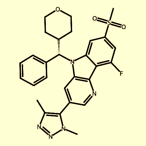 Cc1nnn(C)c1-c1cnc2c3c(F)cc(S(C)(=O)=O)cc3n([C@H](c3ccccc3)C3CCOCC3)c2c1